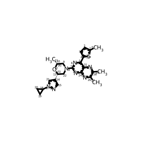 Cc1ccc(-c2nc(N3C[C@@H](C)O[C@@H](c4cnn(C5CC5)c4)C3)nc3nc(C)c(C)nc23)s1